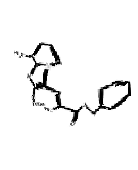 Cc1cccn2c(C=C(C#N)C(=O)OCc3ccccc3)c(OCC(C)C)nc12